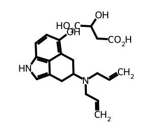 C=CCN(CC=C)C1Cc2c[nH]c3ccc(O)c(c23)C1.O=C(O)CC(O)C(=O)O